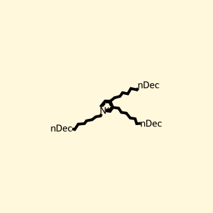 CCCCCCCCCCCCCCCCC[n+]1ccc(CCCCCCCCCCCCCCCC)c(CCCCCCCCCCCCCCCC)c1